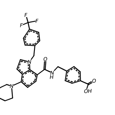 O=C(O)c1ccc(CNC(=O)c2ccc(N3CCOCC3)c3ccn(Cc4ccc(C(F)(F)F)cc4)c23)cc1